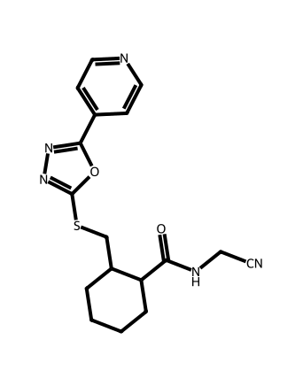 N#CCNC(=O)C1CCCCC1CSc1nnc(-c2ccncc2)o1